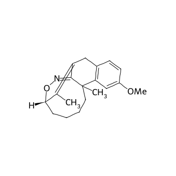 COc1ccc2c(c1)C1(C)CCCC[C@@H]3ON=C1C(=C3C)C2